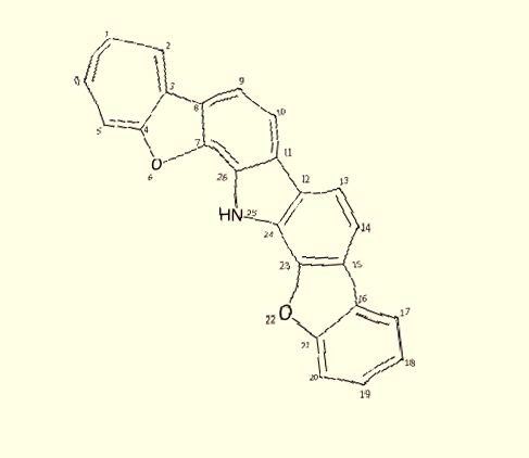 c1ccc2c(c1)oc1c2ccc2c3ccc4c5ccccc5oc4c3[nH]c21